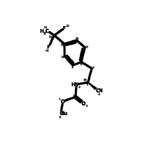 CC(C)(C)OC(=O)N[C@H](C#N)Cc1ccc(C(C)(F)F)cc1